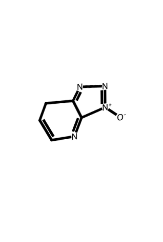 [O-][N+]1=NN=C2CC=CN=C21